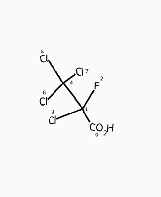 O=C(O)C(F)(Cl)C(Cl)(Cl)Cl